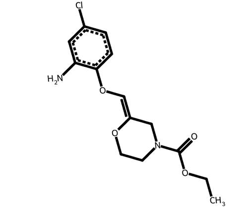 CCOC(=O)N1CCO/C(=C\Oc2ccc(Cl)cc2N)C1